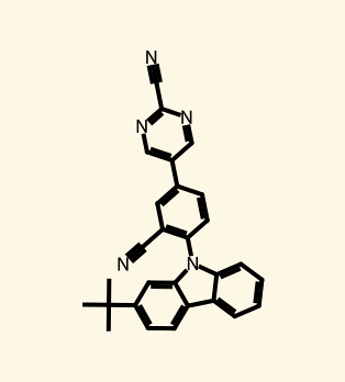 CC(C)(C)c1ccc2c3ccccc3n(-c3ccc(-c4cnc(C#N)nc4)cc3C#N)c2c1